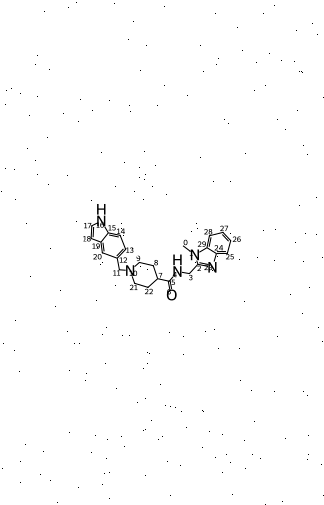 Cn1c(CNC(=O)C2CCN(Cc3ccc4[nH]ccc4c3)CC2)nc2ccccc21